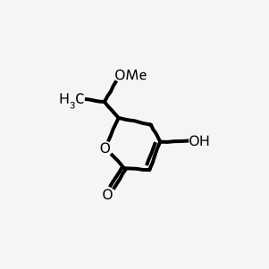 COC(C)C1CC(O)=CC(=O)O1